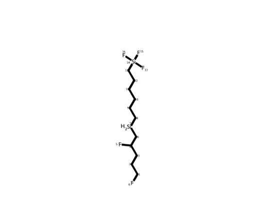 FCCCC(F)C[SiH2]CCCCCC[Si](F)(F)F